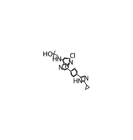 CC(C)(O)CNc1cc(Cl)nn2c(-c3ccc(-c4cnc(C5CC5)[nH]4)cc3)cnc12